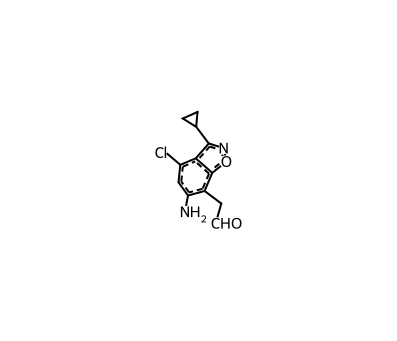 Nc1cc(Cl)c2c(C3CC3)noc2c1CC=O